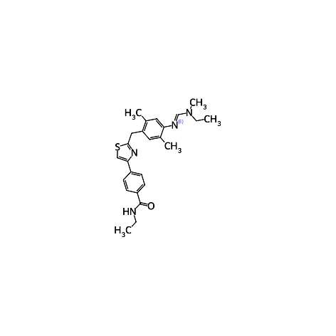 CCNC(=O)c1ccc(-c2csc(Cc3cc(C)c(/N=C/N(C)CC)cc3C)n2)cc1